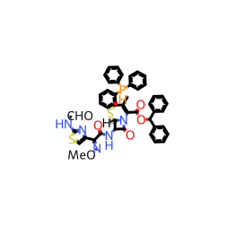 CON=C(C(=O)NC1C(=O)N2C(C(=O)OC(c3ccccc3)c3ccccc3)=C(C[PH](c3ccccc3)(c3ccccc3)c3ccccc3)CS[C@@H]12)c1csc(NC=O)n1